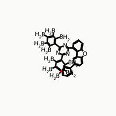 Bc1c(B)c(B)c(-c2nc(-c3c(B)c(B)c(B)c(B)c3B)nc(-c3cccc4oc5ccc(-c6ccccc6)cc5c34)n2)c(B)c1B